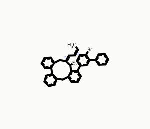 C/C=C\C=C1\Cc2ccccc2-c2ccccc2Cc2cccc(-c3ccc(Br)c(-c4ccccc4)c3)c2C1CC